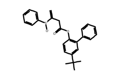 C=C(CC(=O)Oc1ccc(C(C)(C)C)cc1-c1ccccc1)[S+]([O-])c1ccccc1